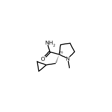 CN1CCC[C@]1(CC1CC1)C(N)=O